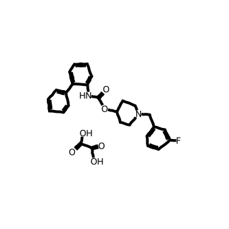 O=C(Nc1ccccc1-c1ccccc1)OC1CCN(Cc2cccc(F)c2)CC1.O=C(O)C(=O)O